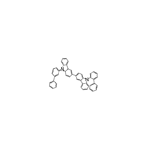 C1=CC2C(C=C1c1ccc3c(c1)c1ccccc1n3-c1ccccc1-c1ccccc1)c1ccccc1N2c1cccc(-c2ccccc2)c1